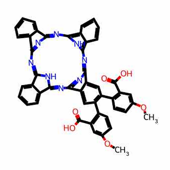 COc1ccc(-c2cc3c(cc2-c2ccc(OC)cc2C(=O)O)-c2nc-3nc3[nH]c(nc4nc(nc5[nH]c(n2)c2ccccc52)-c2ccccc2-4)c2ccccc32)c(C(=O)O)c1